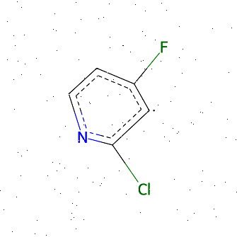 Fc1[c]c(Cl)ncc1